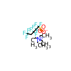 CC[N+](CC)(CC)CC.O=S(=O)([O-])C(F)(F)C(F)(F)C(F)(F)CC(F)(F)F